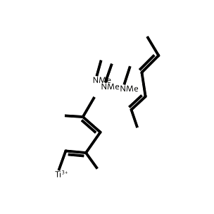 CC(C)=CC(C)=[CH][Ti+3].CC=CC=CC.C[N-]C.C[N-]C.C[N-]C